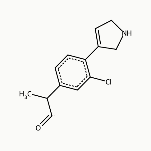 CC([C]=O)c1ccc(C2=CCNC2)c(Cl)c1